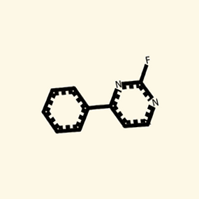 Fc1n[c]cc(-c2ccccc2)n1